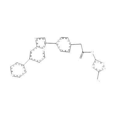 CC(C)(C)c1nnc(NC(=O)Cc2ccc(-c3cnc4cc(-c5ccncc5)ccn34)cc2)s1